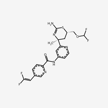 C[C@@]1(c2cc(NC(=O)c3ccc(C=C(F)F)cn3)ccn2)C[C@@H](COC(F)F)SC(N)=N1